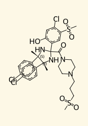 C[C@@]1(c2ccc(Cl)cc2)NC(C(=O)N2CCN(CCCS(C)(=O)=O)CC2)(c2cc(S(C)(=O)=O)c(Cl)cc2O)N[C@]1(C)c1ccc(Cl)cc1